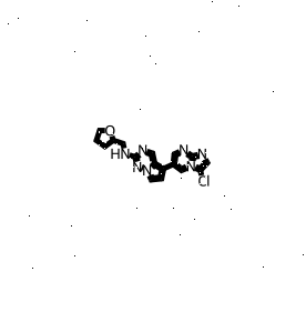 Clc1cnc2ncc(-c3ccn4nc(NCC5CCCO5)ncc34)cn12